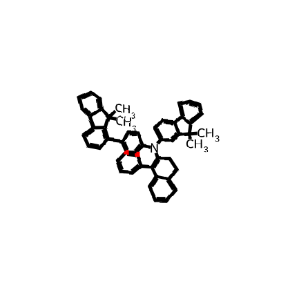 CC1(C)c2ccccc2-c2ccc(N(C3=C(c4ccccc4)c4ccccc4CC3)c3ccc(-c4cccc5c4C(C)(C)c4ccccc4-5)cc3)cc21